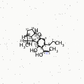 C/C=C(/O)c1c(CCC)cc2c(c1O)[C@@H]1C3[C@@H](CC[C@H]3O2)C1(C)I